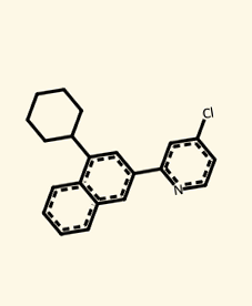 Clc1ccnc(-c2cc(C3CCCCC3)c3ccccc3c2)c1